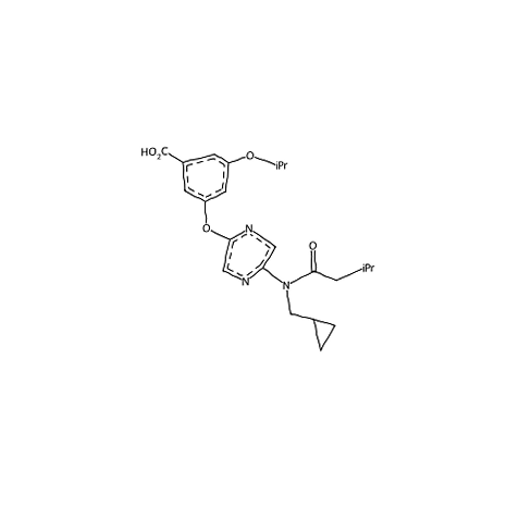 CC(C)CC(=O)N(CC1CC1)c1cnc(Oc2cc(OC(C)C)cc(C(=O)O)c2)cn1